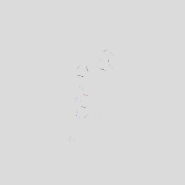 Cc1cc2c(Oc3ccc4c(c3)[C@H](C)N(C(=O)Nc3cnc(OC5CCNCC5)c(C(F)(F)F)c3)CC4)ccnc2[nH]1